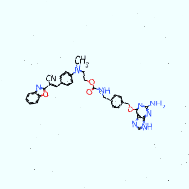 CN(CCOC(=O)NCc1ccc(COc2nc(N)nc3[nH]cnc23)cc1)c1ccc(/C=C(\C#N)c2nc3ccccc3o2)cc1